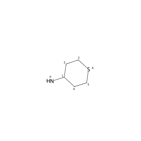 [NH]C1CCSCC1